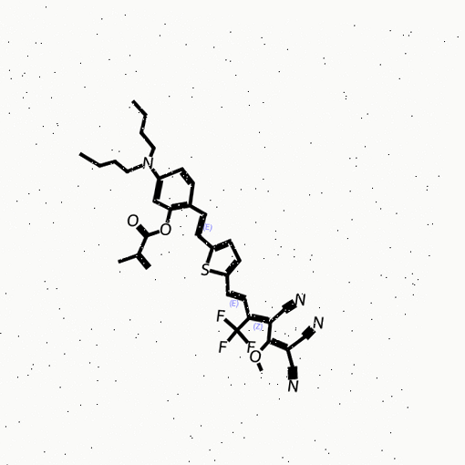 C=C(C)C(=O)Oc1cc(N(CCCC)CCCC)ccc1/C=C/c1ccc(/C=C/C(=C(\C#N)C(OC)=C(C#N)C#N)C(F)(F)F)s1